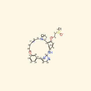 CC[S+]([O-])CCOc1ccc2cc1CN(C)C/C=C\CCOc1cccc(c1)-c1ccnc(n1)N2